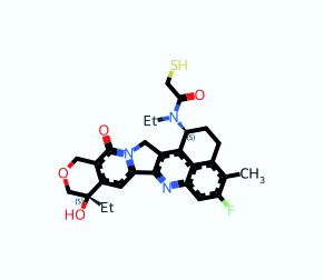 CCN(C(=O)CS)[C@H]1CCc2c(C)c(F)cc3nc4c(c1c23)Cn1c-4cc2c(c1=O)COC[C@]2(O)CC